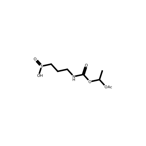 CC(=O)OC(C)OC(=O)NCCCS(=O)O